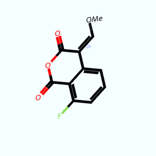 CO/C=C1\C(=O)OC(=O)c2c(F)cccc21